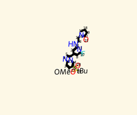 COc1cc2ncc(-c3cc(F)nc(NCCN4CCCC4=O)c3)n2cc1S(=O)(=O)C(C)(C)C